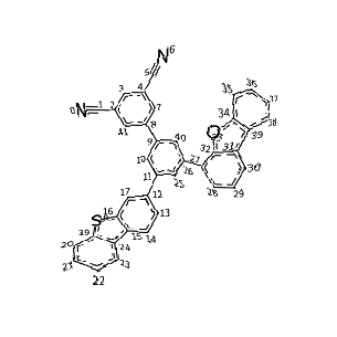 N#Cc1cc(C#N)cc(-c2cc(-c3ccc4c(c3)sc3ccccc34)cc(-c3cccc4c3oc3ccccc34)c2)c1